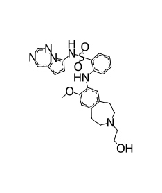 COc1cc2c(cc1Nc1ccccc1S(=O)(=O)Nc1ccc3cncnn13)CCN(CCO)CC2